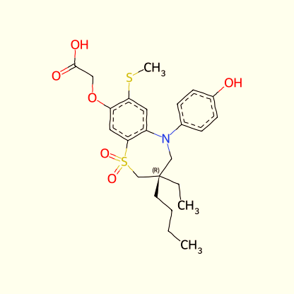 CCCC[C@]1(CC)CN(c2ccc(O)cc2)c2cc(SC)c(OCC(=O)O)cc2S(=O)(=O)C1